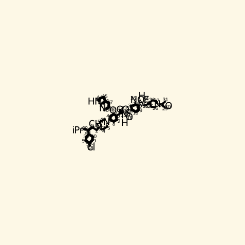 C/C(CN1CCN(c2ccc(C(=O)NS(=O)(=O)c3ccc(NCC4(F)CCN(C5COC5)CC4)c([N+](=O)[O-])c3)c(Oc3cnc4[nH]ccc4c3)c2)CC1)=C(\CC(C)C)c1ccc(Cl)cc1